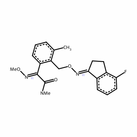 CNC(=O)/C(=N/OC)c1cccc(C)c1CO/N=C1\CCc2c(F)cccc21